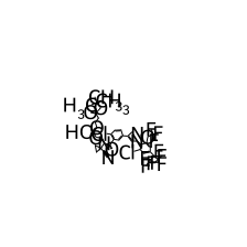 CC(C)(C)OC(=O)CCOC(O)OCN(C(=O)c1cc(-c2cnn(-c3c(Cl)cc(C(F)(C(F)(F)F)C(F)(F)F)cc3OC(F)(F)F)c2)ccc1Cl)C1(C#N)CC1